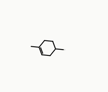 [CH]C1CC=C(C)CC1